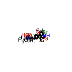 COc1cc(Br)c2[nH]c(=O)c3sccc3c2c1-c1ccc(CCCN(C(=O)O)C(C)(C)C)cc1